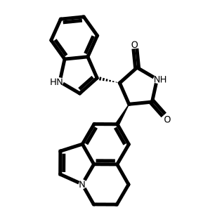 O=C1NC(=O)[C@@H](c2c[nH]c3ccccc23)[C@@H]1c1cc2c3c(ccn3CCC2)c1